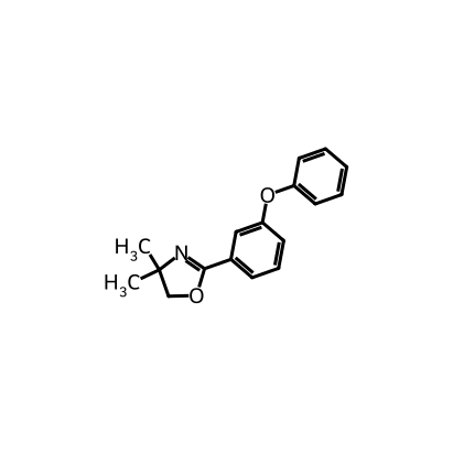 CC1(C)COC(c2cccc(Oc3ccccc3)c2)=N1